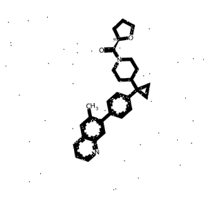 Cc1cc2cccnc2cc1-c1ccc(C2(C3CCN(C(=O)[C@H]4CCCO4)CC3)CC2)cc1